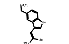 CCOC(=O)Cc1ccc2[nH]cc(/C=C(/C(=O)O)C(C)(C)C)c2c1